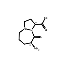 N[C@H]1CCCN2CC[C@@H](C(=O)O)N2C1=O